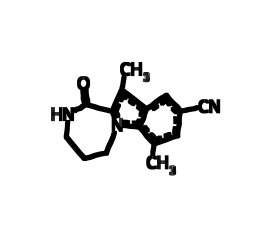 Cc1c2n(c3c(C)cc(C#N)cc13)CCCNC2=O